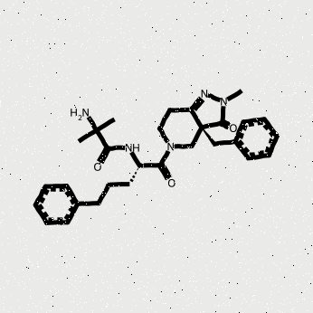 CN1N=C2CCN(C(=O)[C@H](CCCc3ccccc3)NC(=O)C(C)(C)N)C[C@@]2(Cc2ccccc2)C1=O